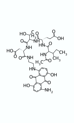 CCC(C)C(NC(C)=O)C(=O)N[C@@H](CCC(=O)O)C(=O)NC(C(=O)N[C@@H](CC(=O)O)C(=O)NCCNc1ccc(O)c2c1C(=O)c1c(O)ccc(N)c1C2=O)C(C)O